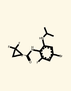 CC(C)Nc1cc(Br)cc(F)c1NC(=O)[C@@H]1CC1(F)F